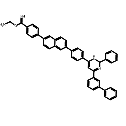 N=C(OCN)c1ccc(-c2ccc3cc(-c4ccc(C5=CC(c6cccc(-c7ccccc7)c6)=NC(c6ccccc6)N5)cc4)ccc3c2)cc1